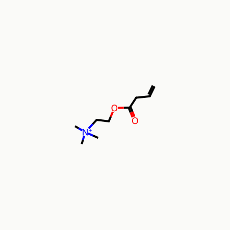 C=CCC(=O)OCC[N+](C)(C)C